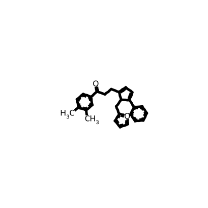 Cc1ccc(C(=O)CCC2=CC=C(c3ccccc3)C2Cc2ccco2)cc1C